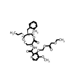 CCC[C@H]1OCC[C@H](NC(=O)c2nccc(OC)c2OCOC(=O)COCC)C(=O)O[C@@H](C)[C@@H]1Cc1ccccc1